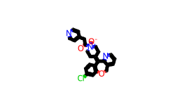 O=C(Cc1ccncc1)[N+]1([O-])CCC(=C2c3ccc(Cl)cc3OCc3cccnc32)CC1